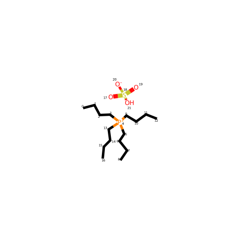 CCCC[P+](CCCC)(CCCC)CCCC.O=S(=O)([O-])O